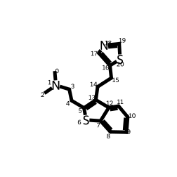 CN(C)CCc1sc2ccccc2c1CCc1cncs1